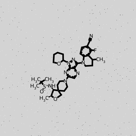 CC1CCN(c2nn(C3CCCCO3)c3nc(N4CCC5(CC4)CO[C@@H](C)[C@H]5N[S+]([O-])C(C)(C)C)cnc23)c2ccc(C#N)c(F)c21